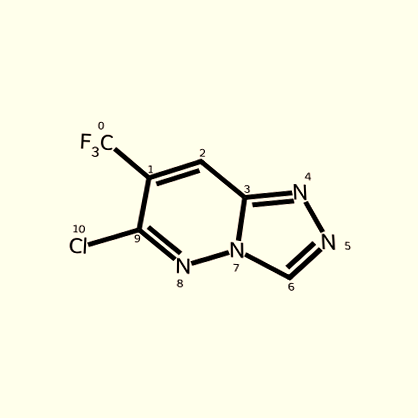 FC(F)(F)c1cc2nncn2nc1Cl